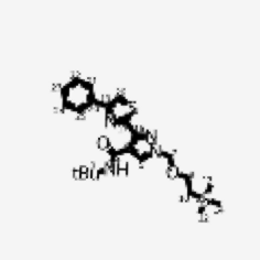 CC(C)(C)NC(=O)c1cn(COCCS(C)(C)C)nc1-c1nc(-c2ccccc2)cs1